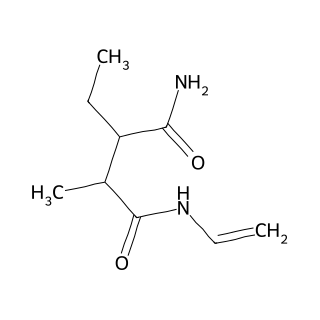 C=CNC(=O)C(C)C(CC)C(N)=O